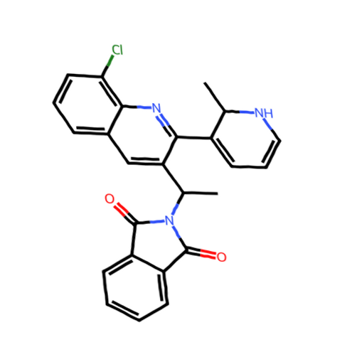 CC1NC=CC=C1c1nc2c(Cl)cccc2cc1C(C)N1C(=O)c2ccccc2C1=O